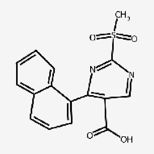 CS(=O)(=O)c1ncc(C(=O)O)c(-c2cccc3ccccc23)n1